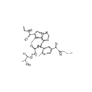 CCCNC(=O)c1ccc(C)c(N(C(=O)OCOC(=O)C(C)O)c2ncnn3cc(C(=O)NCC)c(C)c23)c1